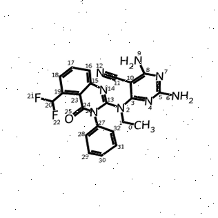 CCN(c1nc(N)nc(N)c1C#N)c1nc2cccc(C(F)F)c2c(=O)n1-c1ccccc1